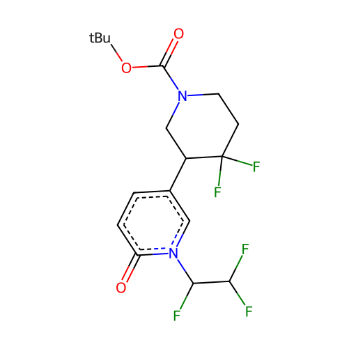 CC(C)(C)OC(=O)N1CCC(F)(F)C(c2ccc(=O)n(C(F)C(F)F)c2)C1